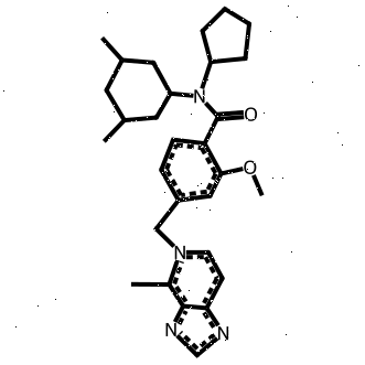 COc1cc(Cn2ccc3ncnc-3c2C)ccc1C(=O)N(C1CCCC1)C1CC(C)CC(C)C1